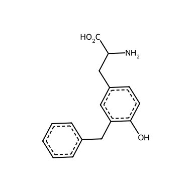 NC(Cc1ccc(O)c(Cc2ccccc2)c1)C(=O)O